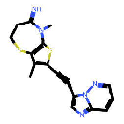 Cc1c(C#Cc2cnc3cccnn23)sc2c1SCCC(=N)N2C